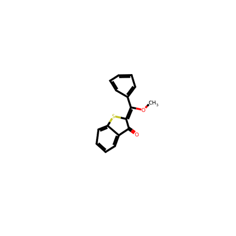 COC(=C1Sc2ccccc2C1=O)c1ccccc1